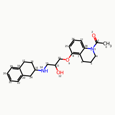 CC(=O)N1CCCc2c(OCC(O)CNC3CCc4ccccc4C3)cccc21